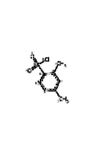 Cc1cnc(S(=O)(=O)Cl)c(C)c1